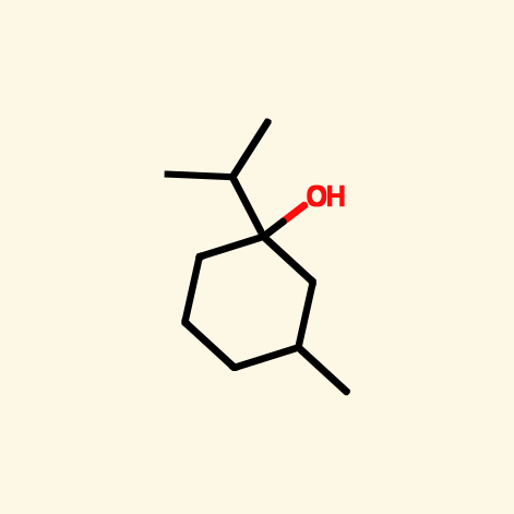 CC1CCCC(O)(C(C)C)C1